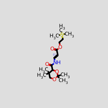 CC1(C)OCC(C)(C)C(C(=O)N/C=C/C(=O)OCCS(C)(C)C)O1